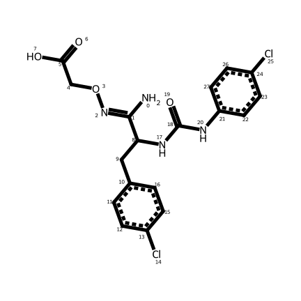 NC(=NOCC(=O)O)C(Cc1ccc(Cl)cc1)NC(=O)Nc1ccc(Cl)cc1